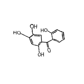 O=C(c1ccccc1O)c1cc(O)c(O)cc1O